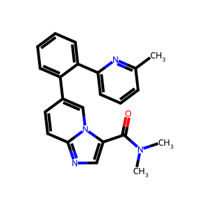 Cc1cccc(-c2ccccc2-c2ccc3ncc(C(=O)N(C)C)n3c2)n1